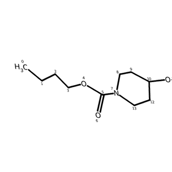 CCCCOC(=O)N1CCC([O])CC1